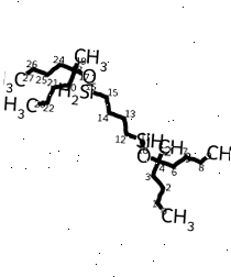 CCCCC(C)(CCCC)O[SiH2]CCCC[SiH2]OC(C)(CCCC)CCCC